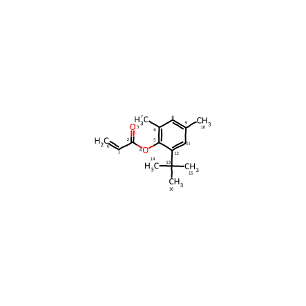 C=CC(=O)Oc1c(C)cc(C)cc1C(C)(C)C